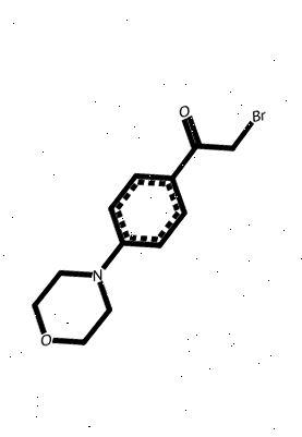 O=C(CBr)c1ccc(N2CCOCC2)cc1